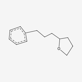 c1ccc(CCCC2CCCO2)cc1